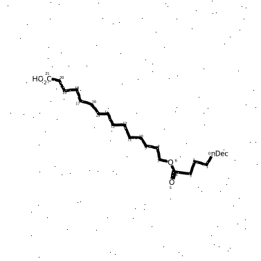 CCCCCCCCCCCCCC(=O)OCCCCCCCCCCCCCCC(=O)O